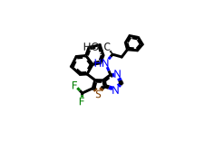 O=C(O)[C@@H](Cc1ccccc1)Nc1ncnc2sc(C(F)F)c(-c3cccc4ccccc34)c12